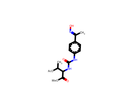 COC(=O)C(NC(=O)Nc1ccc(C(C)=NO)cc1)C(C)OC(C)=O